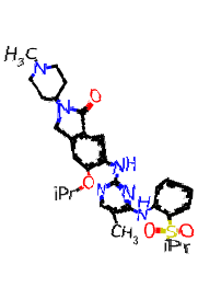 Cc1cnc(Nc2cc3c(cc2OC(C)C)CN(C2CCN(C)CC2)C3=O)nc1Nc1ccccc1S(=O)(=O)C(C)C